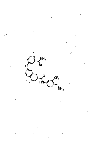 N=C(N)c1cc(Oc2ccc3c(c2)CC(C(=O)Nc2ccc(CN)c(C(F)(F)F)c2)CC3)ccn1